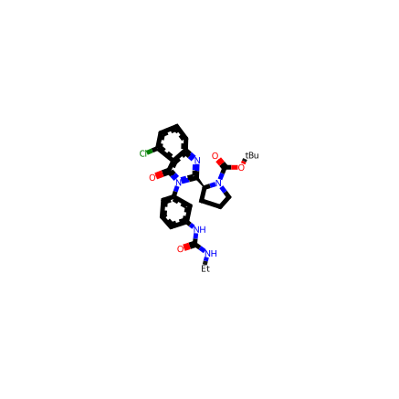 CCNC(=O)Nc1cccc(-n2c([C@@H]3CCCN3C(=O)OC(C)(C)C)nc3cccc(Cl)c3c2=O)c1